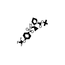 CC(C)(C)OC(=O)N1CCC[C@H]1C1(NS(=O)(=O)c2ccc(OC(F)(F)F)cc2)CC1